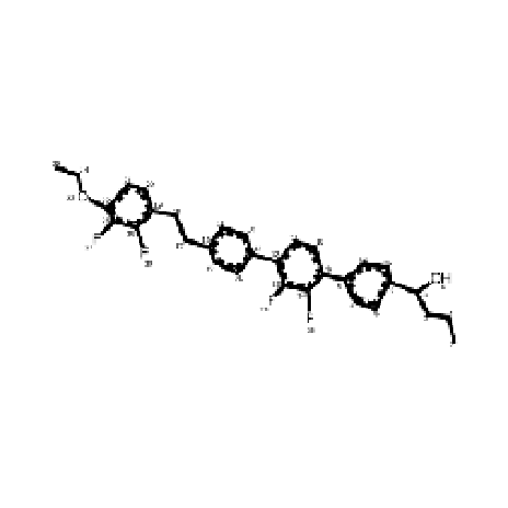 CCCC(O)c1ccc(-c2ccc(-c3ccc(CCc4ccc(OCC)c(F)c4F)cc3)c(F)c2F)cc1